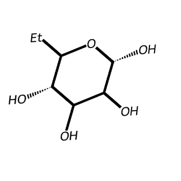 CCC1O[C@H](O)C(O)C(O)[C@@H]1O